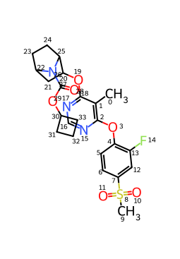 Cc1c(Oc2ccc(S(C)(=O)=O)cc2F)ncnc1OC1CC2CCC1N2C(=O)OC1CCC1